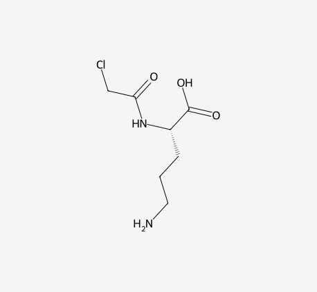 NCCC[C@H](NC(=O)CCl)C(=O)O